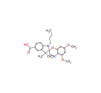 CCCCN1c2ccc(C(=O)O)cc2C(C)(C)C12C=Nc1c(OC)cc(OC)cc1O2